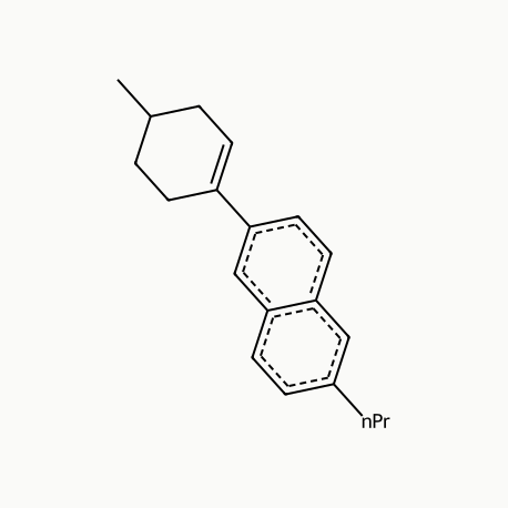 CCCc1ccc2cc(C3=CCC(C)CC3)ccc2c1